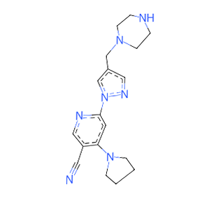 N#Cc1cnc(-n2cc(CN3CCNCC3)cn2)cc1N1CCCC1